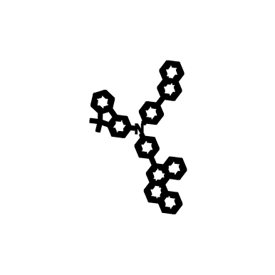 CC1(C)c2ccccc2-c2cc(N(c3ccc(-c4ccc5ccccc5c4)cc3)c3ccc(-c4cc5ccc6ccccc6c5c5ccccc45)cc3)ccc21